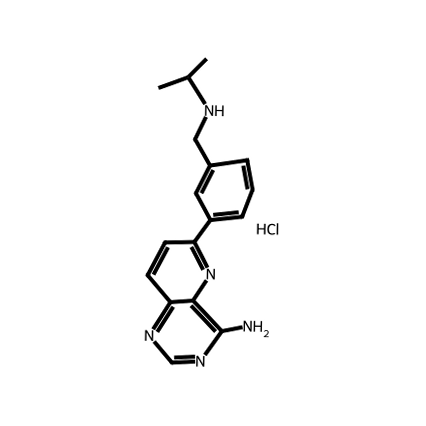 CC(C)NCc1cccc(-c2ccc3ncnc(N)c3n2)c1.Cl